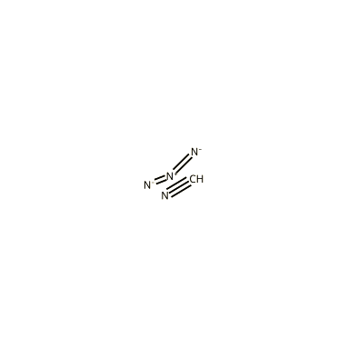 C#N.[N-]=[N+]=[N-]